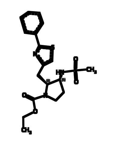 CCOC(=O)N1CC[C@H](NS(C)(=O)=O)[C@@H]1Cc1csc(-c2ccccc2)n1